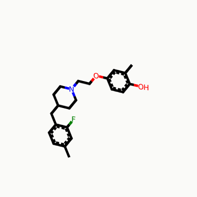 Cc1ccc(CC2CCN(CCOc3ccc(O)c(C)c3)CC2)c(F)c1